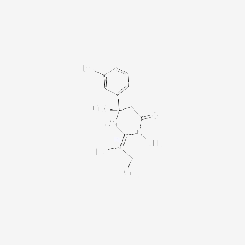 CC/C(C)=C1/N[C@](C)(c2cccc(Br)c2)CC(=O)N1C